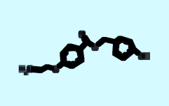 C=CCOc1ccc(C(=O)OCc2ccc(O)cc2)cc1